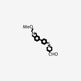 COCCN1Cc2ccc(-c3ccc(SN4CC=C(C=O)CC4)cc3)cc2C1